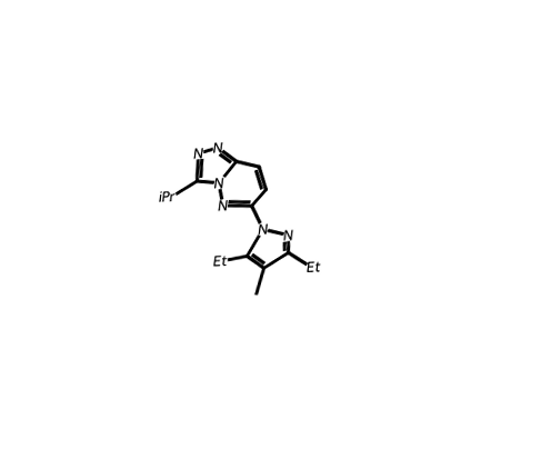 CCc1nn(-c2ccc3nnc(C(C)C)n3n2)c(CC)c1C